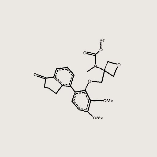 COc1ccc(-c2cccc3c2CCC3=O)c(OCC2(N(C)C(=O)OC(C)C)COC2)c1OC